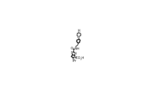 CC(C)c1cc2sc(C(=O)NCCc3ccc(N4CCNCC4)cc3)nc2n1C(=O)O